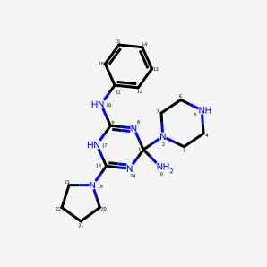 NC1(N2CCNCC2)N=C(Nc2ccccc2)NC(N2CCCC2)=N1